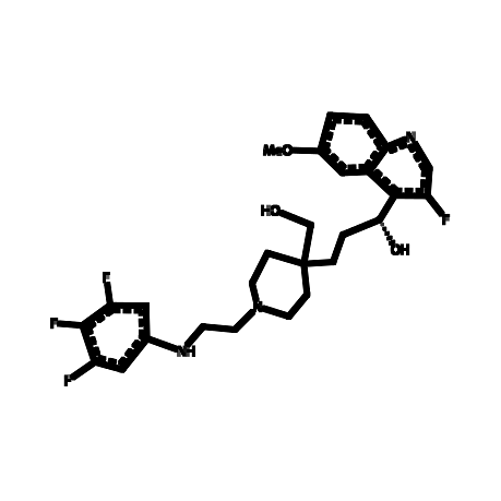 COc1ccc2ncc(F)c([C@H](O)CCC3(CO)CCN(CCNc4cc(F)c(F)c(F)c4)CC3)c2c1